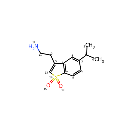 CC(C)c1ccc2c(c1)C(CCN)=CS2(=O)=O